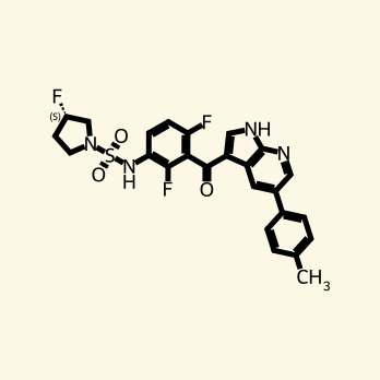 Cc1ccc(-c2cnc3[nH]cc(C(=O)c4c(F)ccc(NS(=O)(=O)N5CC[C@H](F)C5)c4F)c3c2)cc1